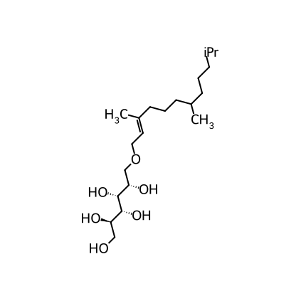 CC(=CCOC[C@H](O)[C@@H](O)[C@H](O)[C@H](O)CO)CCCC(C)CCCC(C)C